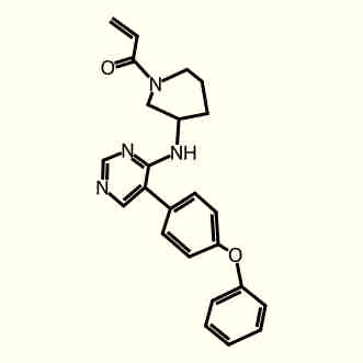 C=CC(=O)N1CCCC(Nc2ncncc2-c2ccc(Oc3ccccc3)cc2)C1